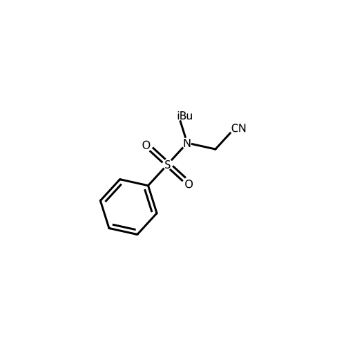 CCC(C)N(CC#N)S(=O)(=O)c1ccccc1